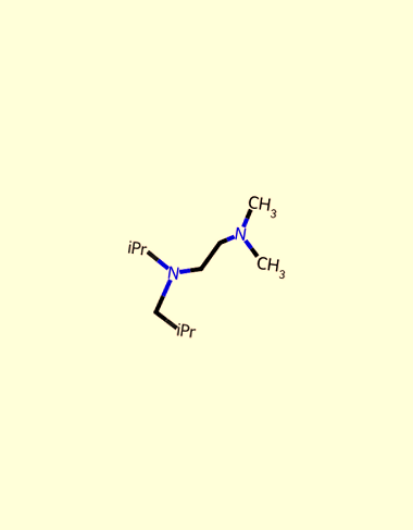 CC(C)CN(CCN(C)C)C(C)C